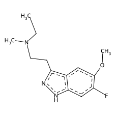 CCN(C)CCc1n[nH]c2cc(F)c(OC)cc12